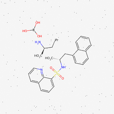 CC(C)C[C@H](N)C(=O)O.O=C(O)[C@H](Cc1cccc2ccccc12)NS(=O)(=O)c1cccc2cccnc12.OB(O)O